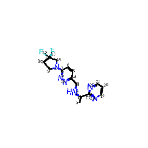 CC(NCc1ccc(N2CCC(F)(F)C2)nn1)c1ncccn1